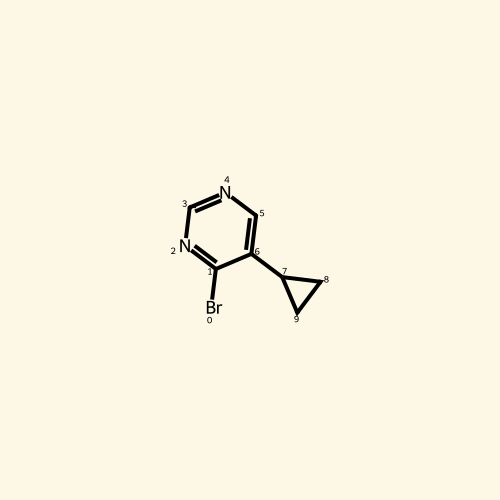 Brc1n[c]ncc1C1CC1